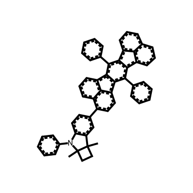 CC12CCC1(C)N(c1ccccc1)c1ccc(-c3ccc4c5c(-c6ccccc6)c6c7cccc8cccc(c6c(-c6ccccc6)c5c5cccc3c54)c87)cc12